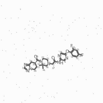 C[C@@H](C(=O)Nc1cnc(Oc2ccc(F)cc2F)cn1)N1CCN(C(=O)[C@H]2CCn3ncnc3C2)C(C)(C)C1